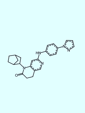 O=C1CCc2cnc(Nc3ccc(-n4cccn4)cc3)cc2N1C1CC2CCC1C2